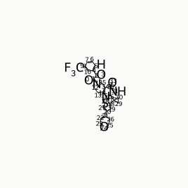 O=C([C@H](O)c1cccc(C(F)(F)F)c1)N1CCc2nc(C3(c4cc(C5=CCOCC5)cs4)CC3)[nH]c(=O)c2C1